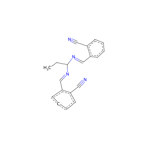 CCC(N=Cc1ccccc1C#N)N=Cc1ccccc1C#N